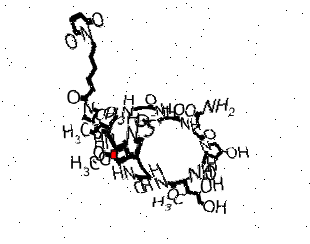 CC[C@H](C)[C@@H]1NC(=O)CNC(=O)[C@@H]2Cc3c([nH]c4c(CSC5CN(C(=O)CCCCCN6C(=O)C=CC6=O)C5)c(OC)ccc34)[S+]([O-])C[C@H](NC(=O)CNC1=O)C(=O)N[C@@H](CC(N)=O)C(=O)N1C[C@H](O)C[C@H]1C(=O)N[C@@H]([C@@H](C)[C@@H](O)CO)C(=O)N2